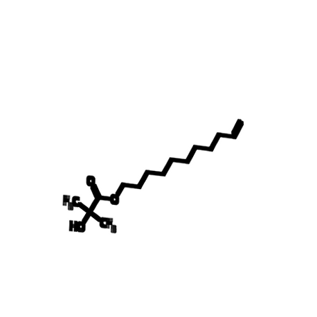 C=CCCCCCCCCCOC(=O)C(O)(C(F)(F)F)C(F)(F)F